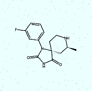 C[C@H]1C[C@]2(CCN1)C(=O)NC(=O)N2c1cccc(F)c1